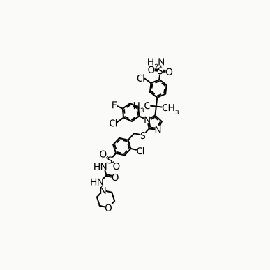 CC(C)(c1ccc(S(N)(=O)=O)c(Cl)c1)c1cnc(SCc2ccc(S(=O)(=O)NC(=O)NN3CCOCC3)cc2Cl)n1-c1ccc(F)c(Cl)c1